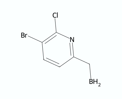 BCc1ccc(Br)c(Cl)n1